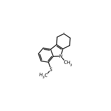 CSc1cccc2c3c(n(C)c12)CC[CH]C3